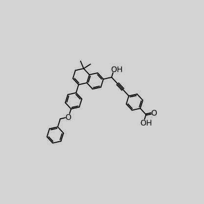 CC1(C)CC=C(c2ccc(OCc3ccccc3)cc2)c2ccc(C(O)C#Cc3ccc(C(=O)O)cc3)cc21